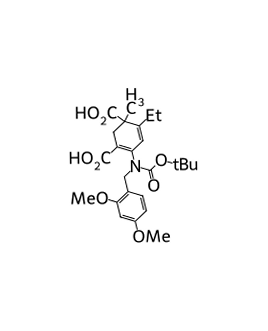 CCC1=CC(N(Cc2ccc(OC)cc2OC)C(=O)OC(C)(C)C)=C(C(=O)O)CC1(C)C(=O)O